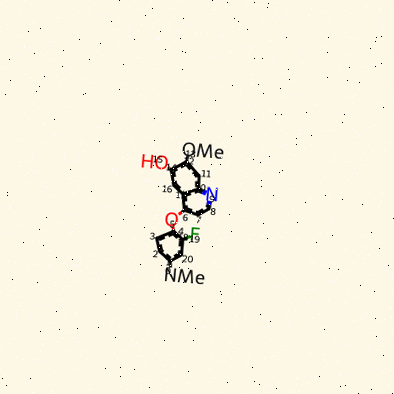 CNc1ccc(Oc2ccnc3cc(OC)c(O)cc23)c(F)c1